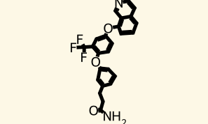 NC(=O)CCc1cccc(Oc2ccc(Oc3cccc4ccncc34)cc2C(F)(F)F)c1